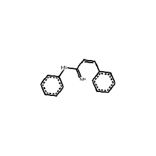 N=C(/C=C\c1ccccc1)Nc1ccccc1